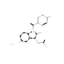 COc1ccc2c(c1)c(CC(N)=O)c(C)n2C(=O)C1C=CC(Cl)CC1